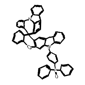 O=P(c1ccccc1)(c1ccccc1)c1ccc(-n2c3ccccc3c3cc4c(cc32)Oc2ccccc2C42c3ccccc3-n3c4ccccc4c4cccc2c43)cc1